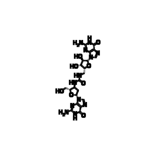 Nc1nc2c(ncn2[C@@H]2O[C@H](CNC(=O)N[C@H]3C[C@H](n4cnc5c(=O)[nH]c(N)nc54)O[C@@H]3CO)[C@H](O)[C@H]2O)c(=O)[nH]1